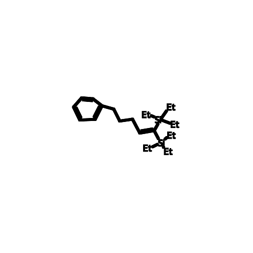 CC[Si](CC)(CC)C(=CCCCc1ccccc1)[Si](CC)(CC)CC